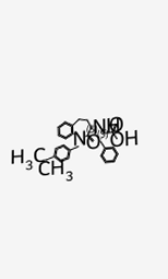 CC(C)c1ccc(CN2C(=O)[C@@H](N[C@@H](Cc3ccccc3)C(=O)O)CCc3ccccc32)cc1